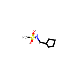 CS(=O)(=O)NCC1CCCC1